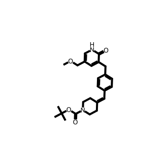 COCc1c[nH]c(=O)c(Cc2ccc(C=C3CCN(C(=O)OC(C)(C)C)CC3)cc2)c1